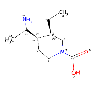 CC[C@H]1CN(C(=O)O)CC[C@H]1C(C)N